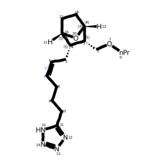 CCCOC[C@@H]1[C@H](C/C=C\CCCc2nnn[nH]2)[C@@H]2CC[C@H]1O2